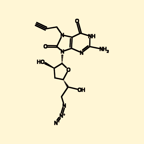 C#CCn1c(=O)n([C@@H]2O[C@H](C(O)CN=[N+]=[N-])C[C@H]2O)c2nc(N)[nH]c(=O)c21